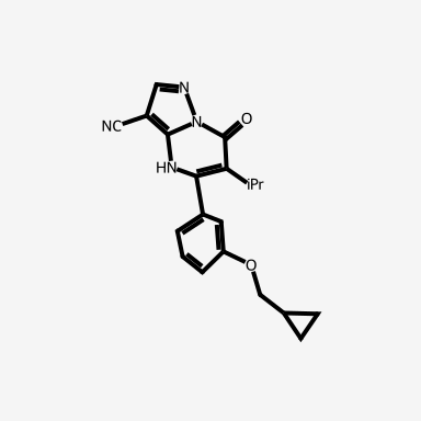 CC(C)c1c(-c2cccc(OCC3CC3)c2)[nH]c2c(C#N)cnn2c1=O